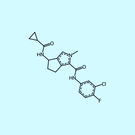 Cn1cc2c(c1C(=O)Nc1ccc(F)c(Cl)c1)CCC2NC(=O)C1CC1